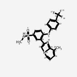 CNS(=O)(=O)c1ccc(Oc2ccc(C(F)(F)F)cc2)c(-c2cn3cccc(C)c3n2)c1